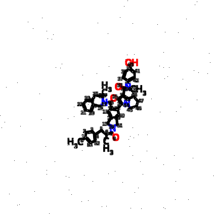 Cc1ccc(CC(C)C(=O)N2Cc3cc(C(=O)N4Cc5ccccc5C[C@H]4C)c(-c4cc(C(=O)N(C)c5ccc(O)cc5)c5n4CCCC5)cc3C2)cc1